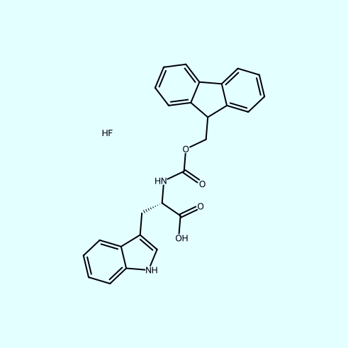 F.O=C(N[C@@H](Cc1c[nH]c2ccccc12)C(=O)O)OCC1c2ccccc2-c2ccccc21